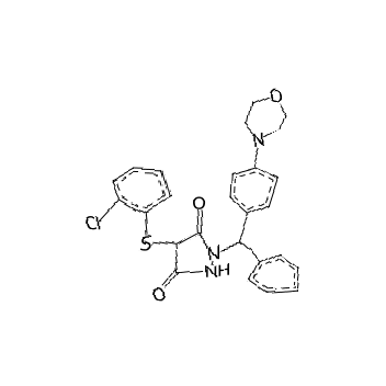 O=C1NN(C(c2ccccc2)c2ccc(N3CCOCC3)cc2)C(=O)C1Sc1ccccc1Cl